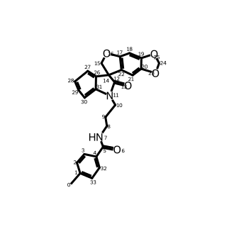 Cc1ccc(C(=O)NCCCN2C(=O)C3(COc4cc5c(cc43)OCO5)c3ccccc32)cc1